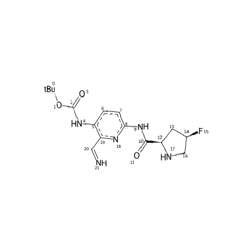 CC(C)(C)OC(=O)Nc1ccc(NC(=O)[C@H]2C[C@@H](F)CN2)nc1C=N